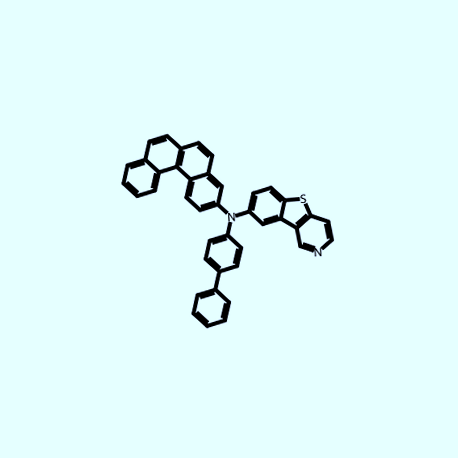 c1ccc(-c2ccc(N(c3ccc4c(ccc5ccc6ccccc6c54)c3)c3ccc4sc5ccncc5c4c3)cc2)cc1